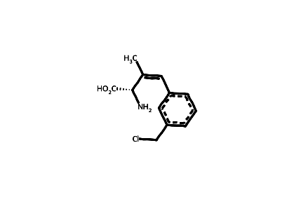 C/C(=C/c1cccc(CCl)c1)[C@H](N)C(=O)O